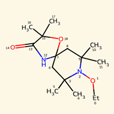 CCON1C(C)(C)CC2(CC1(C)C)NC(=O)C(C)(C)O2